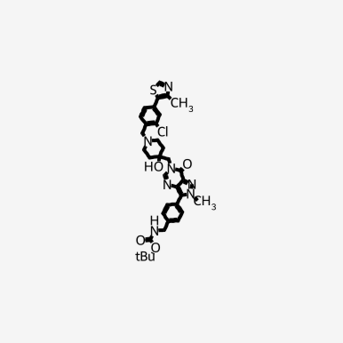 Cc1ncsc1-c1ccc(CN2CCC(O)(Cn3cnc4c(-c5ccc(CNC(=O)OC(C)(C)C)cc5)n(C)nc4c3=O)CC2)c(Cl)c1